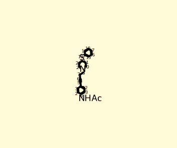 CC(=O)Nc1ccc(C#CCCN2CCC(Sc3ccccc3)CC2)cc1